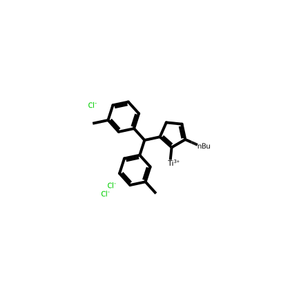 CCCCC1=CCC(C(c2cccc(C)c2)c2cccc(C)c2)=[C]1[Ti+3].[Cl-].[Cl-].[Cl-]